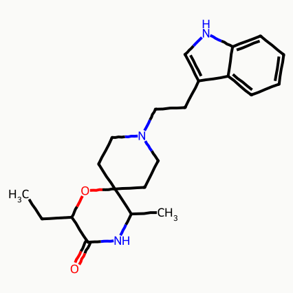 CCC1OC2(CCN(CCc3c[nH]c4ccccc34)CC2)C(C)NC1=O